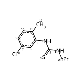 CCCNC(=S)Nc1cc(Cl)ccc1C